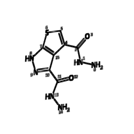 NNC(=O)c1csc2[nH]nc(C(=O)NN)c12